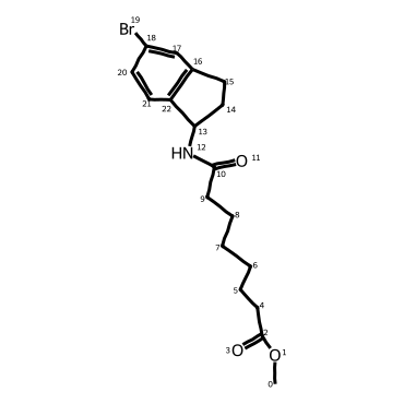 COC(=O)CCCCCCC(=O)NC1CCc2cc(Br)ccc21